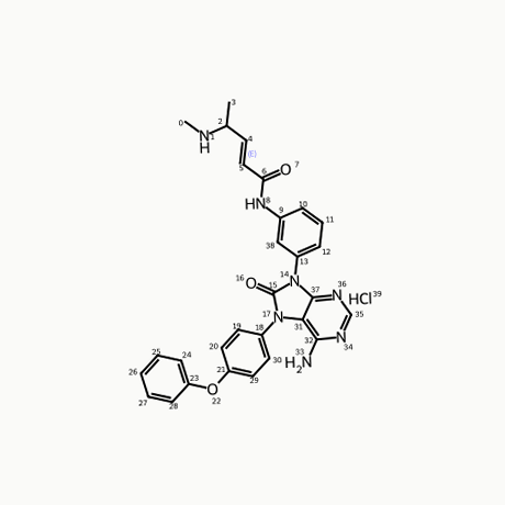 CNC(C)/C=C/C(=O)Nc1cccc(-n2c(=O)n(-c3ccc(Oc4ccccc4)cc3)c3c(N)ncnc32)c1.Cl